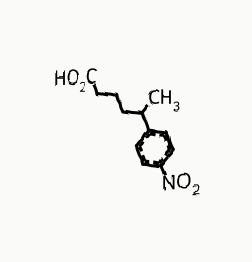 CC(CCCC(=O)O)c1ccc([N+](=O)[O-])cc1